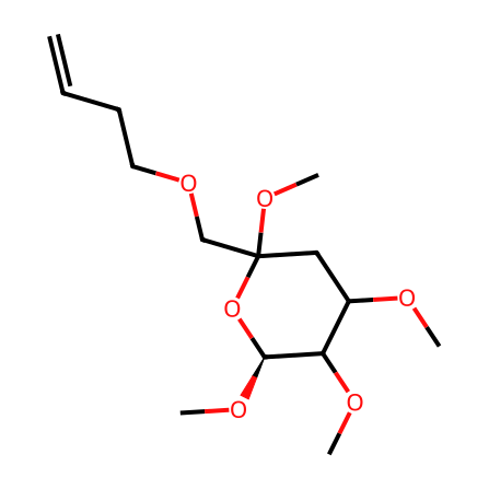 C=CCCOCC1(OC)CC(OC)C(OC)[C@@H](OC)O1